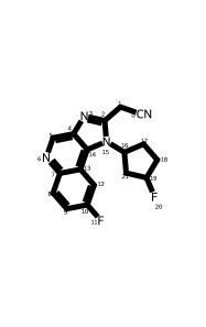 N#CCc1nc2cnc3ccc(F)cc3c2n1C1CCC(F)C1